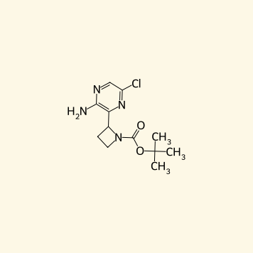 CC(C)(C)OC(=O)N1CCC1c1nc(Cl)cnc1N